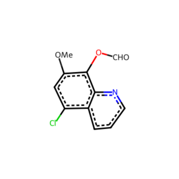 COc1cc(Cl)c2cccnc2c1OC=O